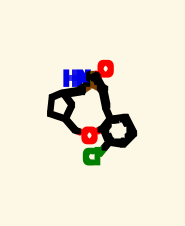 O=c1[nH]/c2s/c1=C/c1cccc(Cl)c1OCC1CC\C=2C1